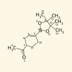 CC(=O)C1CC=C(B2OC(C)(C)C(C)(C)O2)CC1